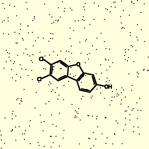 Oc1ccc2c(c1)oc1cc(Cl)c(Cl)cc12